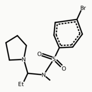 CCC(N1CCCC1)N(C)S(=O)(=O)c1ccc(Br)cc1